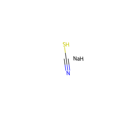 N#CS.[NaH]